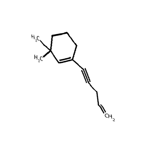 C=CCC#CC1=CC(C)(C)CCC1